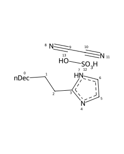 CCCCCCCCCCCCc1ncc[nH]1.N#CC#N.O=S(=O)(O)O